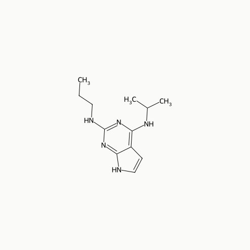 CCCNc1nc(NC(C)C)c2cc[nH]c2n1